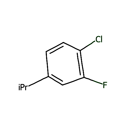 CC(C)c1ccc(Cl)c(F)c1